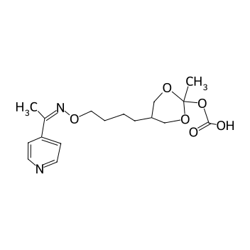 CC(=NOCCCCC1COC(C)(OC(=O)O)OC1)c1ccncc1